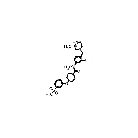 Cc1cc(N(C)C(=O)C2CCC(Oc3cccc(S(C)(=O)=O)c3)CC2)ccc1CN1CCN[C@@H](C)C1